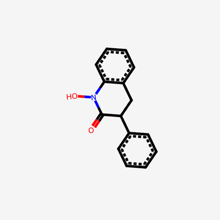 O=C1C(c2ccccc2)Cc2ccccc2N1O